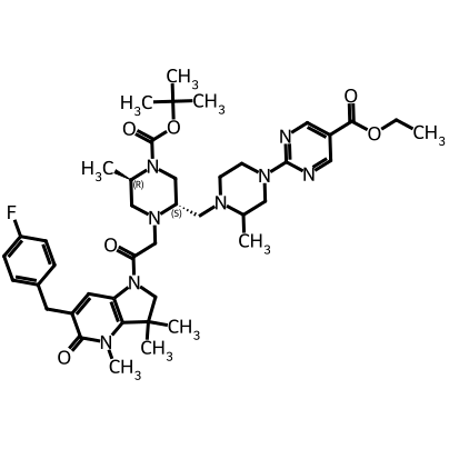 CCOC(=O)c1cnc(N2CCN(C[C@H]3CN(C(=O)OC(C)(C)C)[C@H](C)CN3CC(=O)N3CC(C)(C)c4c3cc(Cc3ccc(F)cc3)c(=O)n4C)C(C)C2)nc1